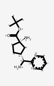 CC(C)(C)OC(=O)[C@]1(N)CC[C@@H](C(N)c2ncccn2)C1